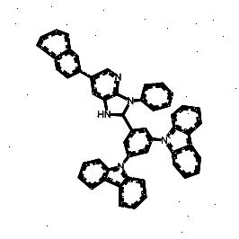 c1ccc(N2c3ncc(-c4ccc5ccccc5c4)cc3NC2c2cc(-n3c4ccccc4c4ccccc43)cc(-n3c4ccccc4c4ccccc43)c2)cc1